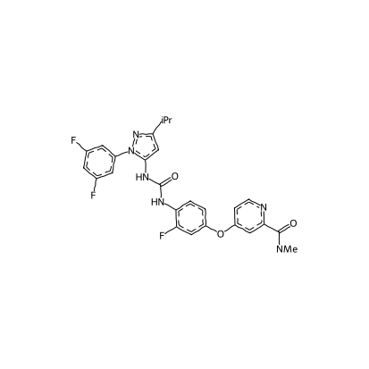 CNC(=O)c1cc(Oc2ccc(NC(=O)Nc3cc(C(C)C)nn3-c3cc(F)cc(F)c3)c(F)c2)ccn1